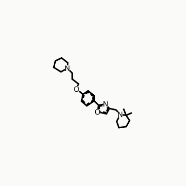 CC1(C)CCCCN1Cc1coc(-c2ccc(OCCCN3CCCCC3)cc2)n1